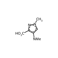 CNc1cn(C)nc1C(=O)O